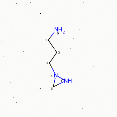 NCCCN1CN1